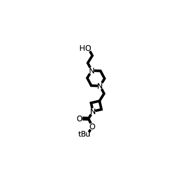 CC(C)(C)OC(=O)N1CC(CN2CCN(CCO)CC2)C1